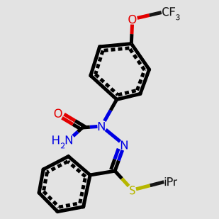 CC(C)S/C(=N/N(C(N)=O)c1ccc(OC(F)(F)F)cc1)c1ccccc1